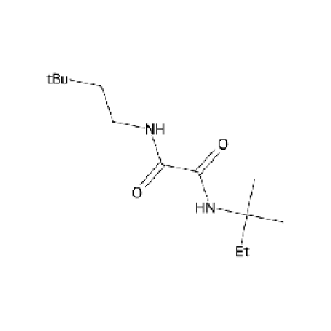 CCC(C)(C)NC(=O)C(=O)NCCC(C)(C)C